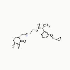 CC(NSCC/C=C/CC1CCC(=O)NC1=O)c1cccc(OCC2CC2)c1